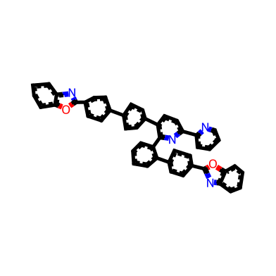 c1ccc(-c2ccc(-c3ccc(-c4ccc(-c5nc6ccccc6o5)cc4)cc3)c(-c3ccccc3-c3ccc(-c4nc5ccccc5o4)cc3)n2)nc1